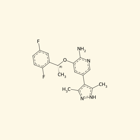 Cc1n[nH]c(C)c1-c1cnc(N)c(O[C@H](C)c2cc(F)ccc2F)c1